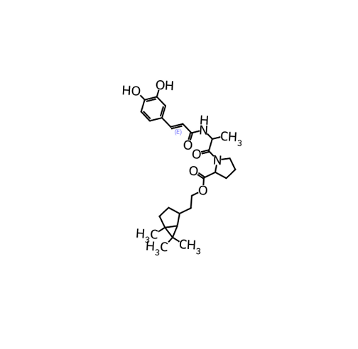 CC(NC(=O)/C=C/c1ccc(O)c(O)c1)C(=O)N1CCCC1C(=O)OCCC1CCC2(C)C1C2(C)C